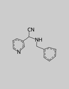 N#CC(NCc1ccccc1)c1cccnc1